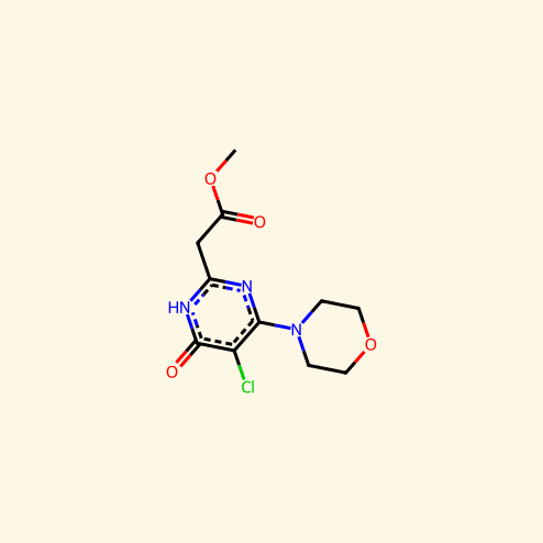 COC(=O)Cc1nc(N2CCOCC2)c(Cl)c(=O)[nH]1